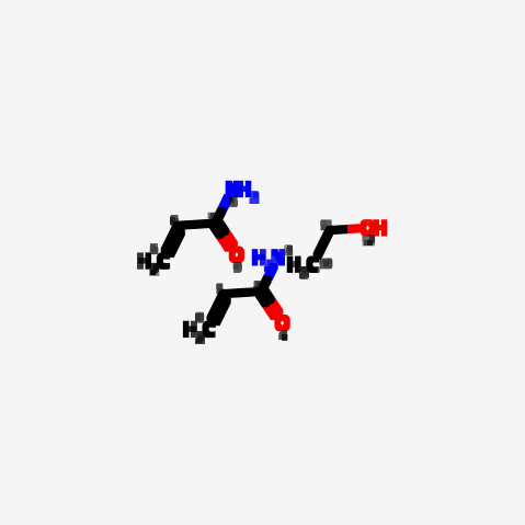 C=CC(N)=O.C=CC(N)=O.CCO